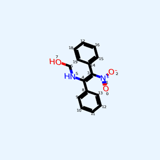 O=[N+]([O-])C(=C(NCO)c1ccccc1)c1ccccc1